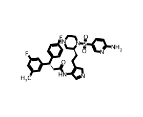 Cc1cc(F)cc([C@@H](CC(=O)NC2=C(CC[C@H]3CNCCN3S(=O)(=O)c3ccc(N)nc3)CN=C2)c2ccc(F)cc2)c1